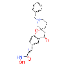 O=C(/C=C/c1ccc2c(c1)C(=O)CC1(CCCN(Cc3ccccc3)C1)O2)NO